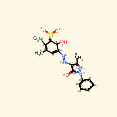 CC1=C([N+](=O)[O-])C(=S(=O)=O)C(O)C(N=Nc2c(C)[nH]n(-c3ccccc3)c2=O)=C1